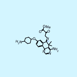 COC(=O)C(=O)C/N=C1\c2cc(OC3CCC(N)CC3)ccc2-c2ncnc(N)c2C1(C)C